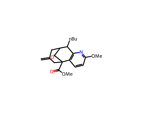 C=C1CC2C(=O)C(C(=O)OC)(C1)c1ccc(OC)nc1C2CCCC